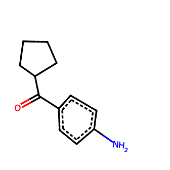 Nc1ccc(C(=O)C2CCCC2)cc1